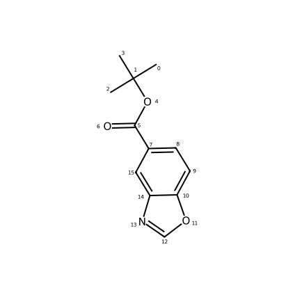 CC(C)(C)OC(=O)c1ccc2ocnc2c1